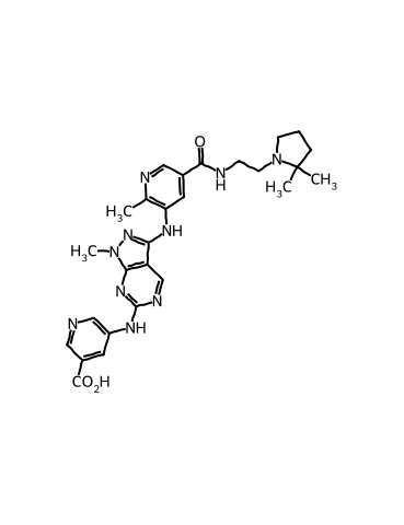 Cc1ncc(C(=O)NCCN2CCCC2(C)C)cc1Nc1nn(C)c2nc(Nc3cncc(C(=O)O)c3)ncc12